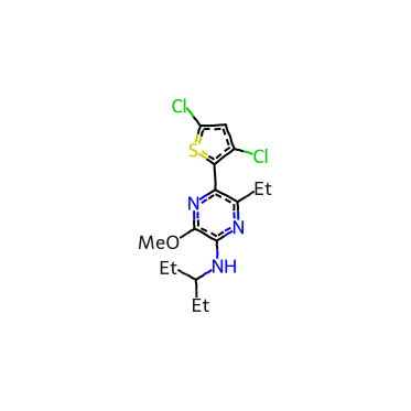 CCc1nc(NC(CC)CC)c(OC)nc1-c1sc(Cl)cc1Cl